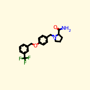 NC(=O)C1CCCN1Cc1ccc(OCc2cccc(C(F)(F)F)c2)cc1